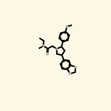 CCN(C)C(=O)CN1CC(c2ccc3c(c2)OCO3)CC1c1ccc(OC)cc1